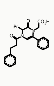 CC(C)C1C(=O)N(CC(=O)O)C(c2ccccc2)=CN1C(=O)CCc1ccccc1